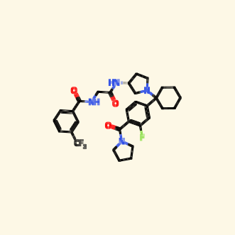 O=C(CNC(=O)c1cccc(C(F)(F)F)c1)N[C@@H]1CCN(C2(c3ccc(C(=O)N4CCCC4)c(F)c3)CCCCC2)C1